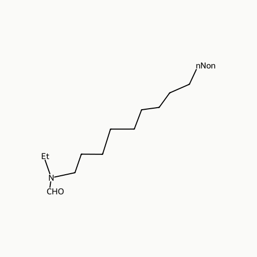 CCCCCCCCCCCCCCCCCCN(C=O)CC